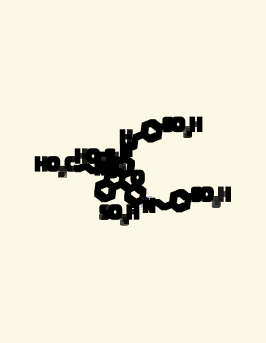 CN(CCCC(=O)O)C(=O)c1ccccc1-c1c2cc(S(=O)(=O)O)/c(=N/CCc3ccc(S(=O)(=O)O)cc3)cc-2oc2cc(NCCc3ccc(S(=O)(=O)O)cc3)c(S(=O)(=O)O)cc12